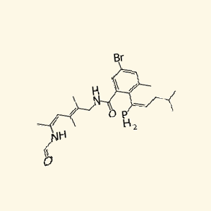 C/C(=C/C(C)=C(\C)CNC(=O)c1cc(Br)cc(C)c1/C(P)=C\CC(C)C)NC=O